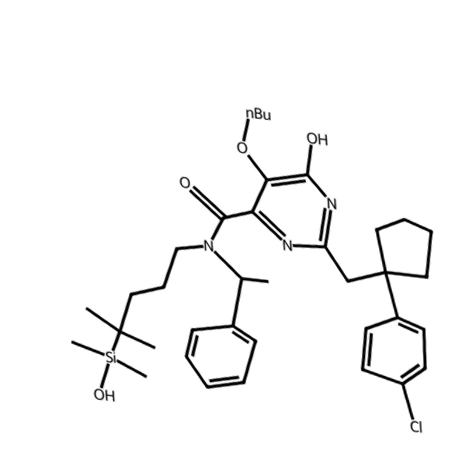 CCCCOc1c(O)nc(CC2(c3ccc(Cl)cc3)CCCC2)nc1C(=O)N(CCCC(C)(C)[Si](C)(C)O)C(C)c1ccccc1